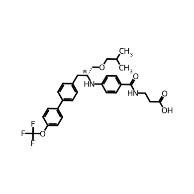 CC(C)COC[C@@H](Cc1ccc(-c2ccc(OC(F)(F)F)cc2)cc1)Nc1ccc(C(=O)NCCC(=O)O)cc1